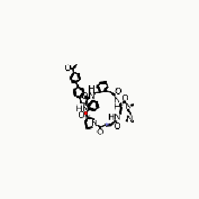 CC(=O)c1ccc(-c2ccc(C[C@@H]3NC(=O)[C@]4(Cc5ccccc5)CCCN(C4)C(=O)/C=C/C(=O)NCC[C@@H](C(=O)N(C)CCN(C)C)NC(=O)Cc4ccccc4CNC3=O)cc2)cc1